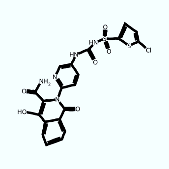 NC(=O)c1c(O)c2ccccc2c(=O)n1-c1ccc(NC(=O)NS(=O)(=O)c2ccc(Cl)s2)cn1